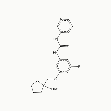 CC(=O)NC1(COc2cc(F)cc(NC(=O)Nc3cccnc3)c2)CCCC1